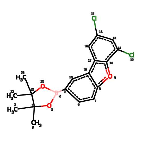 CC1(C)OB(c2ccc3oc4c(Cl)cc(Cl)cc4c3c2)OC1(C)C